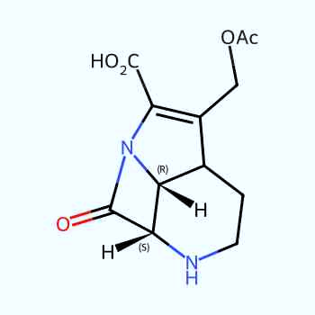 CC(=O)OCC1=C(C(=O)O)N2C(=O)[C@H]3NCCC1[C@H]32